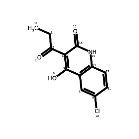 CCC(=O)c1c(O)c2cc(Cl)ccc2[nH]c1=O